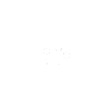 C=CCC.O=C(C=Cc1ccc(O)c(O)c1)c1ccc(O)cc1O